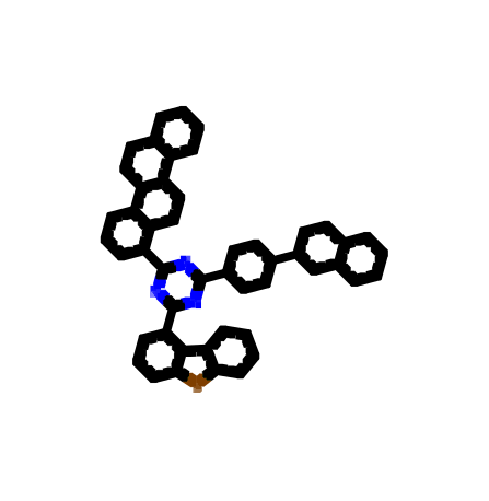 c1ccc2cc(-c3ccc(-c4nc(-c5cccc6c5ccc5c7ccccc7ccc65)nc(-c5cccc6sc7ccccc7c56)n4)cc3)ccc2c1